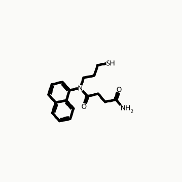 NC(=O)CCC(=O)N(CCCS)c1cccc2ccccc12